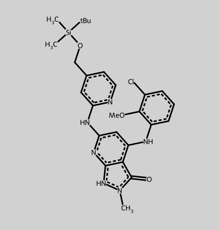 COc1c(Cl)cccc1Nc1cc(Nc2cc(CO[Si](C)(C)C(C)(C)C)ccn2)nc2[nH]n(C)c(=O)c12